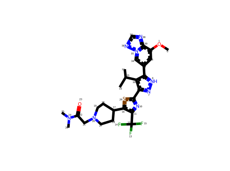 COc1cc(-c2[nH]nc(-c3nc(C(F)(F)F)c(C4CCN(CC(=O)N(C)C)CC4)s3)c2C(C)C)cn2ncnc12